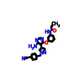 C=CC(=O)Nc1cccc(Oc2ncnc(N)c2-c2cnn(Cc3ccc(C#N)cc3)c2)c1